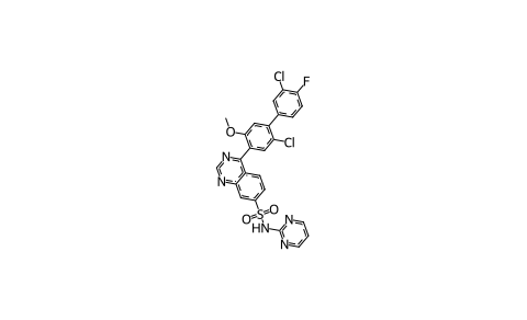 COc1cc(-c2ccc(F)c(Cl)c2)c(Cl)cc1-c1ncnc2cc(S(=O)(=O)Nc3ncccn3)ccc12